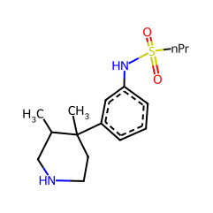 CCCS(=O)(=O)Nc1cccc(C2(C)CCNCC2C)c1